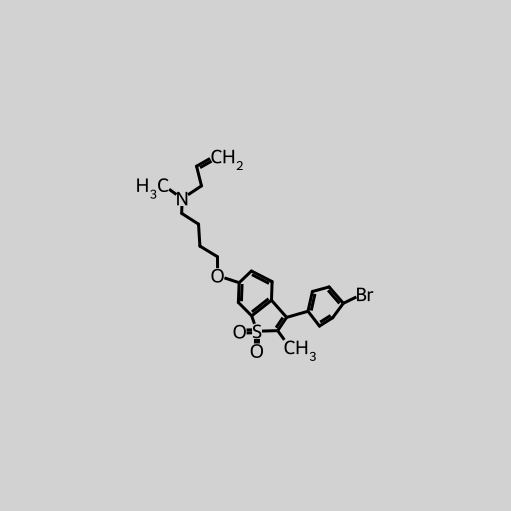 C=CCN(C)CCCCOc1ccc2c(c1)S(=O)(=O)C(C)=C2c1ccc(Br)cc1